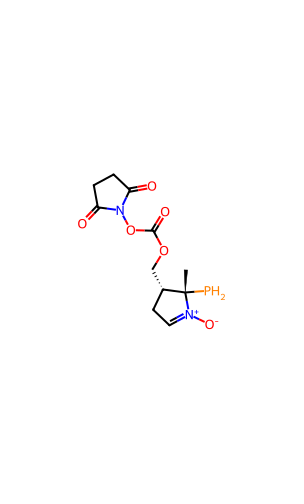 C[C@]1(P)[C@@H](COC(=O)ON2C(=O)CCC2=O)CC=[N+]1[O-]